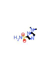 CN(C)c1cncc(S(N)(=O)=O)n1